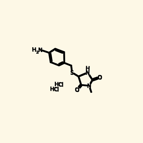 CN1C(=O)NC(SCc2ccc(N)cc2)C1=O.Cl.Cl